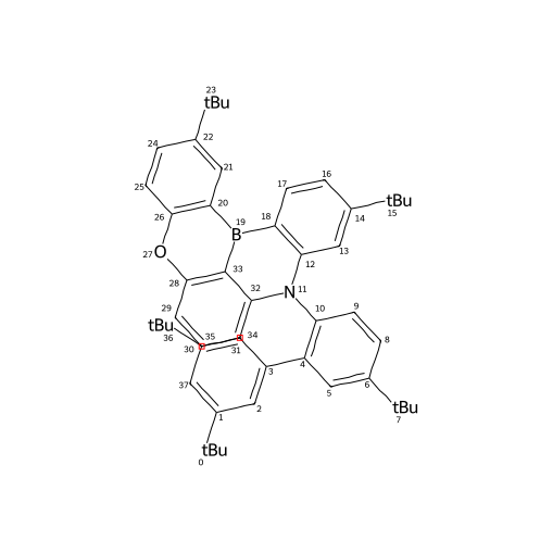 CC(C)(C)c1cc(-c2cc(C(C)(C)C)ccc2N2c3cc(C(C)(C)C)ccc3B3c4cc(C(C)(C)C)ccc4Oc4cccc2c43)cc(C(C)(C)C)c1